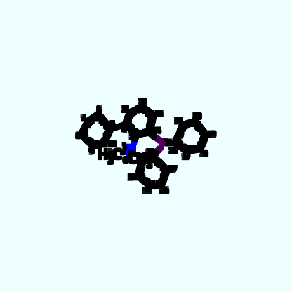 CN(C)c1c(-c2ccccc2)cccc1P(c1ccccc1)c1ccccc1